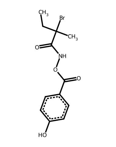 CCC(C)(Br)C(=O)NOC(=O)c1ccc(O)cc1